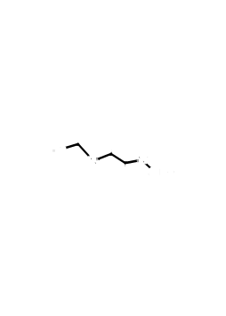 CCCCNCCN[C]=O